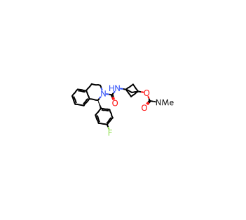 CNC(=O)OC12CC(NC(=O)N3CCc4ccccc4[C@@H]3c3ccc(F)cc3)(C1)C2